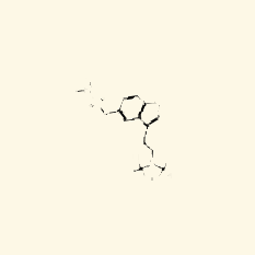 [2H]N(C)S(=O)(=O)Cc1ccc2c(c1)c(CCN(C([2H])([2H])[2H])C([2H])([2H])[2H])cn2[2H]